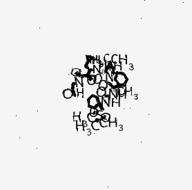 CC1([C@H](NC(=O)NC2(CS(=O)(=O)C(C)(C)C)CCCCC2)C(=O)N2C[C@H]3[C@@H]([C@H]2C(=O)NC(CC2CC2)C(=O)C(=O)NCC2CO2)C3(C)C)CCCCC1